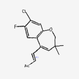 CC(=O)/C=C/C1=CC(C)(C)COc2cc(Cl)c(F)cc21